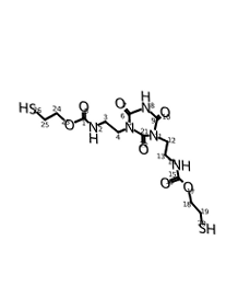 O=C(NCCn1c(=O)[nH]c(=O)n(CCNC(=O)OCCS)c1=O)OCCS